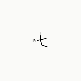 CC(C)C(C)(I)[CH]I